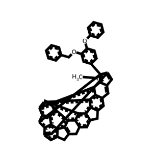 CN1CC23C4=Cc5cc6c7c8c(cc9c%10c%11c%12c%13c(cc%14c%15c(c%16c%17c2c5c7c%17c(c8%10)c%11c%16c%15%13)C3(C(=C4)C=%14)C1c1ccc(Oc2ccccc2)c(OCc2ccccc2)c1)CC=%12C9)C6